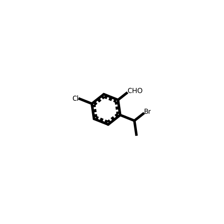 CC(Br)c1ccc(Cl)cc1C=O